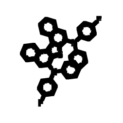 Fc1ccc(N(c2ccccc2)c2cc3ccccc3c3c2sc2c(N(c4ccccc4)c4ccc(F)cc4)cc4ccccc4c23)cc1